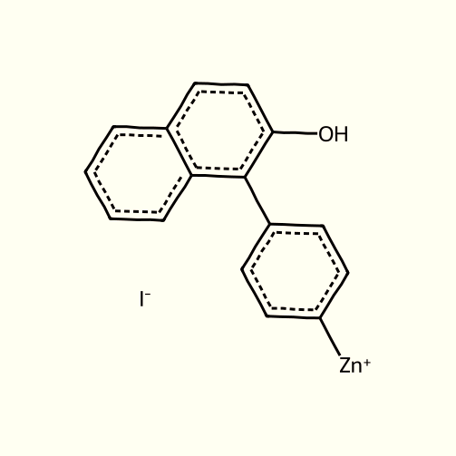 Oc1ccc2ccccc2c1-c1cc[c]([Zn+])cc1.[I-]